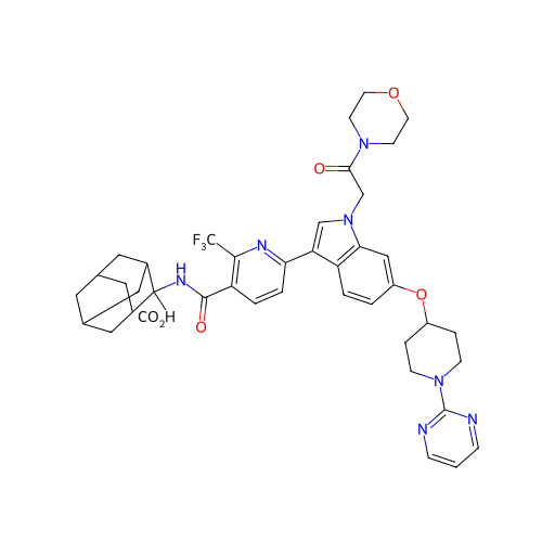 O=C(NC1(C(=O)O)C2CC3CC(C2)CC1C3)c1ccc(-c2cn(CC(=O)N3CCOCC3)c3cc(OC4CCN(c5ncccn5)CC4)ccc23)nc1C(F)(F)F